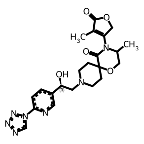 CC1=C(N2C(=O)C3(CCN(C[C@H](O)c4ccc(-n5cnnn5)nc4)CC3)OCC2C)COC1=O